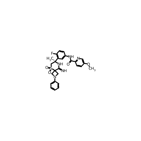 COc1ccc(C(=O)Nc2ccc(F)c([C@]3(C)CS(=O)(=O)C4(CN(c5ccccc5)C4)C(=N)N3)c2)nc1